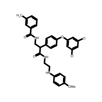 COc1ccc(NCCNC(=O)C(CNC(=O)c2cccc(C)c2)c2ccc(Oc3cc(Cl)cc(Cl)c3)cc2)cc1